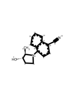 C[C@@H]1[C@@H](O)CCN1c1ccc(C#N)c2ccccc12